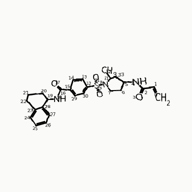 C=CC(=O)NC1CCN(S(=O)(=O)c2ccc(C(=O)NC3CCCc4ccccc43)cc2)C(C)C1